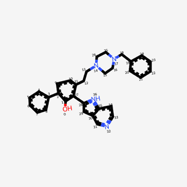 Oc1c(-c2ccccc2)ccc(CCN2CCN(Cc3ccccc3)CC2)c1-c1cc2cnccc2[nH]1